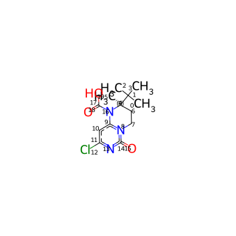 CC(C)(C)[C@@]1(C)CCn2c(cc(Cl)nc2=O)N1C(=O)O